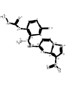 COC(=O)Oc1ccc(F)cc1[C@@H](C)Nc1ccn2ncc([N+](=O)[O-])c2n1